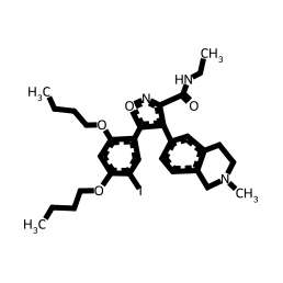 CCCCOc1cc(OCCCC)c(-c2onc(C(=O)NCC)c2-c2ccc3c(c2)CCN(C)C3)cc1I